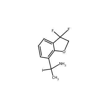 CC(N)(I)c1cccc2c1OCC2(F)F